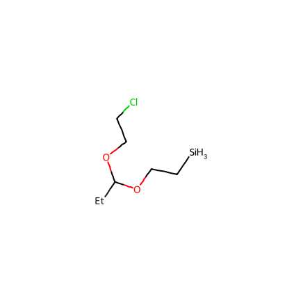 CCC(OCC[SiH3])OCCCl